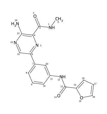 CNC(=O)c1nc(-c2cccc(NC(=O)c3ccco3)c2)cnc1N